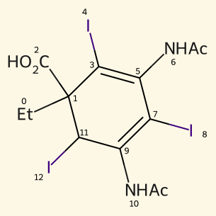 CCC1(C(=O)O)C(I)=C(NC(C)=O)C(I)=C(NC(C)=O)C1I